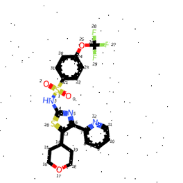 O=S(=O)(Nc1nc(-c2ccccn2)c(C2CCOCC2)s1)c1ccc(OC(F)(F)F)cc1